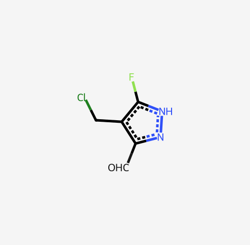 O=Cc1n[nH]c(F)c1CCl